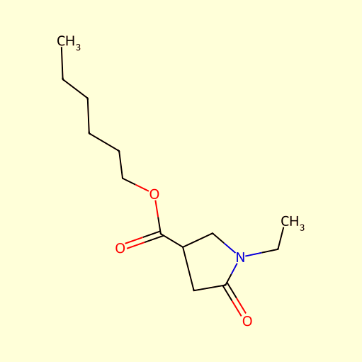 CCCCCCOC(=O)C1CC(=O)N(CC)C1